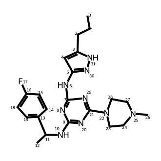 CCCc1cc(Nc2nc(NC(C)c3ccc(F)cc3)nc(N3CCN(C)CC3)n2)n[nH]1